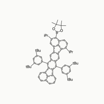 CC(C)c1cc2c3cc4c(-c5cc(C(C)(C)C)cc(C(C)(C)C)c5)c5c6cccc7cccc(c5c(-c5cc(C(C)(C)C)cc(C(C)(C)C)c5)c4cc3c3c(C(C)C)ccc(c1B1OC(C)(C)C(C)(C)O1)c23)c76